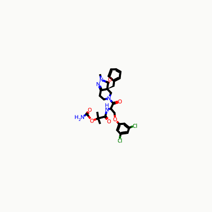 CN1N=C2CCN(C(=O)C(COc3cc(Cl)cc(Cl)c3)NC(=O)C(C)(C)OC(N)=O)C[C@@]2(Cc2ccccc2)C1=O